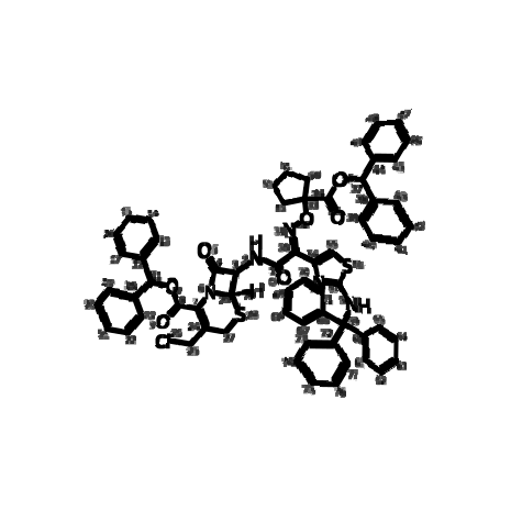 O=C(NC1C(=O)N2C(C(=O)OC(c3ccccc3)c3ccccc3)=C(CCl)CS[C@@H]12)C(=NOC1(C(=O)OC(c2ccccc2)c2ccccc2)CCCC1)c1csc(NC(c2ccccc2)(c2ccccc2)c2ccccc2)n1